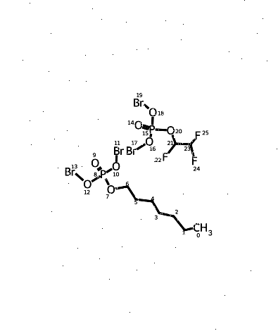 CCCCCCCOP(=O)(OBr)OBr.O=P(OBr)(OBr)OC(F)C(F)F